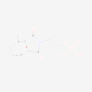 CC12C=CC(C)(O1)[C@H]1C(=O)N(CCOP(=O)(O)O)C(=O)[C@H]12